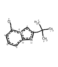 CC(C)(C)c1cn2c(Cl)cccc2n1